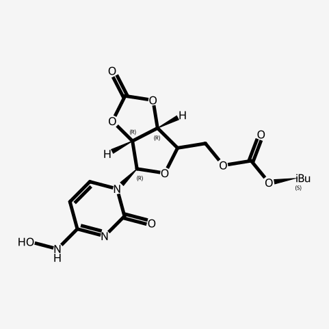 CC[C@H](C)OC(=O)OCC1O[C@@H](n2ccc(NO)nc2=O)[C@@H]2OC(=O)O[C@H]12